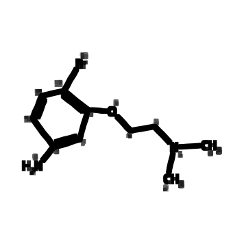 CN(C)CCOc1cc(N)ccc1Br